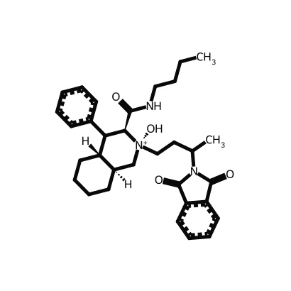 CCCCNC(=O)[C@@H]1C(c2ccccc2)[C@H]2CCCC[C@@H]2C[N@+]1(O)CCC(C)N1C(=O)c2ccccc2C1=O